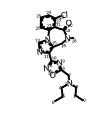 CCCN(CCC)Cc1nc(-c2ncn3c2CN(C)C(=O)c2c(Cl)cccc2-3)no1